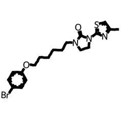 Cc1csc(N2CCN(CCCCCCOc3ccc(Br)cc3)C2=O)n1